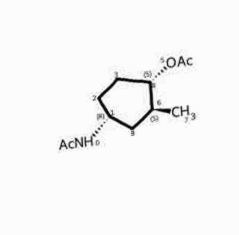 CC(=O)N[C@@H]1CC[C@H](OC(C)=O)[C@@H](C)C1